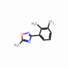 Cc1nc(-c2cccc(C(F)(F)F)c2C)no1